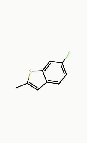 Cc1[c]c2ccc(F)cc2s1